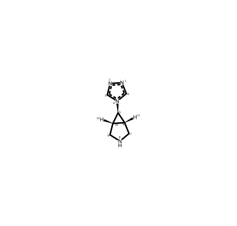 c1nncn1[C@H]1[C@@H]2CNC[C@@H]21